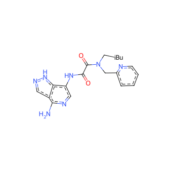 CCC(C)CN(Cc1ccccn1)C(=O)C(=O)Nc1cnc(N)c2cn[nH]c12